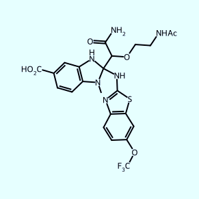 CC(=O)NCCOC(C(N)=O)C1(Nc2nc3ccc(OC(F)(F)F)cc3s2)Nc2cc(C(=O)O)ccc2N1C